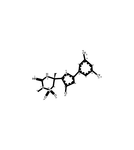 CN1C(=N)N[C@](C)(c2sc(-c3cc(C(F)(F)F)cc(C(F)(F)F)c3)cc2Cl)CS1(=O)=O